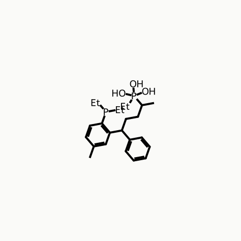 CCP(CC)c1ccc(C)cc1C(CCC(C)P(O)(O)(O)CC)c1ccccc1